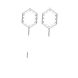 C.CC.O=C(O)c1ccccc1.O=C(O)c1ccccc1